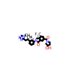 C[C@H](Cc1nncn1C)c1cccc(N2Cc3c(cc(C(=O)N4CC[C@H](O)C4)cc3C(F)(F)F)C2=O)c1